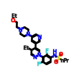 CCCS(=O)(=O)Nc1ccc(F)c(N2C=C(c3cncc(N4CCN(CCOCC)CC4)c3)C(CC)C=N2)c1F